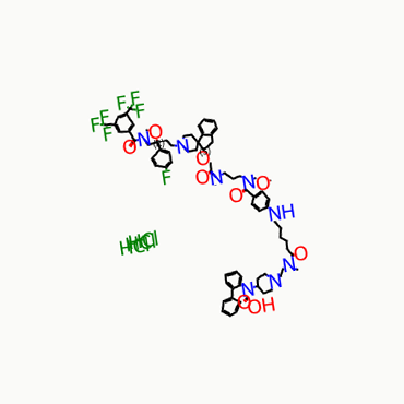 COc1cc(NCCCCCC(=O)N(C)CCN2CCC(N(C(=O)O)c3ccccc3-c3ccccc3)CC2)ccc1C(=O)N(C)CCCN(C)C(=O)CO[C@H]1Cc2ccccc2C12CCN(CC[C@@]1(c3ccc(F)cc3)CN(C(=O)c3cc(C(F)(F)F)cc(C(F)(F)F)c3)CO1)CC2.Cl.Cl.Cl